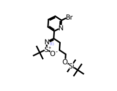 CC(C)(C)[S+]([O-])/N=C(\CCCO[Si](C)(C)C(C)(C)C)c1cccc(Br)n1